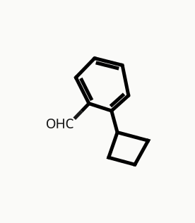 O=Cc1ccccc1C1CCC1